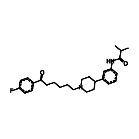 CC(C)C(=O)Nc1cccc(C2CCN(CCCCCC(=O)c3ccc(F)cc3)CC2)c1